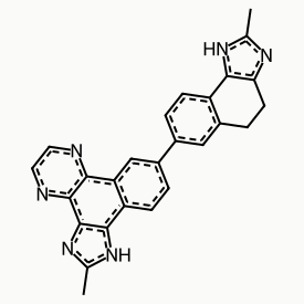 Cc1nc2c([nH]1)-c1ccc(-c3ccc4c(c3)c3nccnc3c3nc(C)[nH]c43)cc1CC2